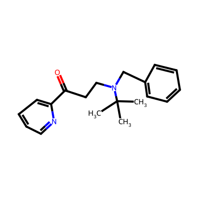 CC(C)(C)N(CCC(=O)c1ccccn1)Cc1ccccc1